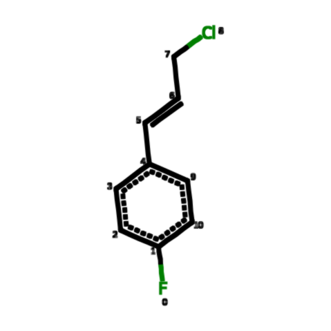 Fc1ccc(/C=C/CCl)cc1